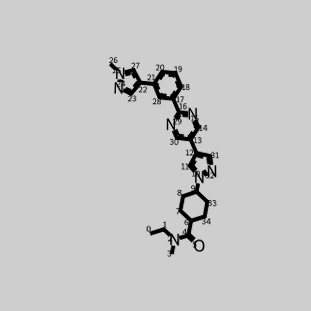 CCN(C)C(=O)C1CCC(n2cc(-c3cnc(-c4cccc(-c5cnn(C)c5)c4)nc3)cn2)CC1